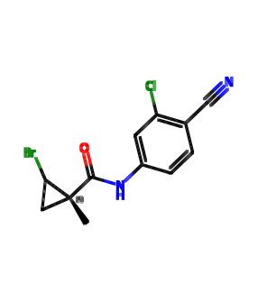 C[C@@]1(C(=O)Nc2ccc(C#N)c(Cl)c2)CC1Br